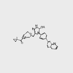 CC1(C(=O)N2CC[C@@H](CC3=NNC(O)N3c3ccc(-c4ccc5cccnc5c4)cc3)C2)CC1